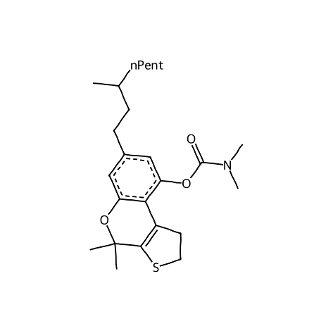 CCCCCC(C)CCc1cc(OC(=O)N(C)C)c2c(c1)OC(C)(C)C1=C2CCS1